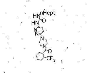 CCCCCCCNC(=O)Nc1ccc(N2CCN(C(=O)c3ccccc3C(F)(F)F)CC2)nn1